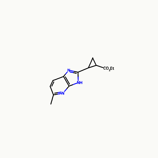 CCOC(=O)C1CC1c1nc2ccc(C)nc2[nH]1